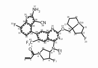 C=CC(=O)N1CC(F)C(N(CC)c2nc(OCC34CCCN3CC(F)C4)nc3cc(-c4ccc(F)c5sc(N)c(C#N)c45)c(C(F)(F)F)cc23)C1